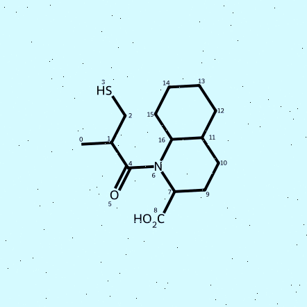 CC(CS)C(=O)N1C(C(=O)O)CCC2CCCCC21